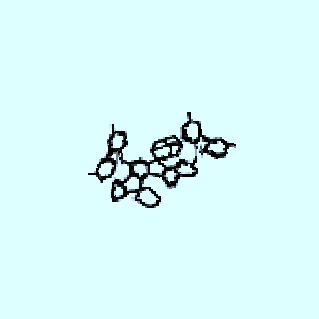 Cc1ccc2c(c1)c1cc(C)ccc1n2-c1ccc2ccc3c(c2c1)C1(c2cc(-n4c5ccc(C)cc5c5cc(C)ccc54)c4c(c2-3)C2(CCCCC2)c2ccccc2-4)C2CC3CC(C2)CC1C3